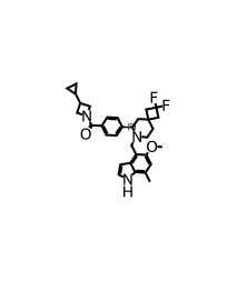 COc1cc(C)c2[nH]ccc2c1CN1CCC2(C[C@@H]1c1ccc(C(=O)N3CC(C4CC4)C3)cc1)CC(F)(F)C2